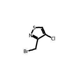 Clc1csnc1CBr